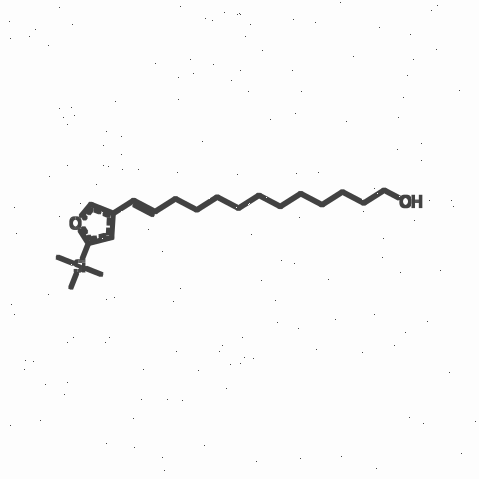 C[Si](C)(C)c1cc(C=CCCCCCCCCCCCO)co1